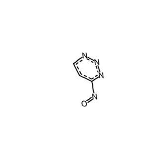 O=Nc1ccnnn1